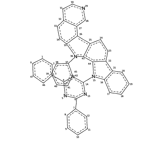 c1ccc(-c2nc(-c3ccccc3)nc(-n3c4ccccc4c4ccc5c6c7cnccc7ccc6n(-c6ccccc6)c5c43)n2)cc1